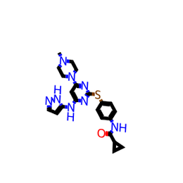 CN1CCN(c2cc(Nc3ccn[nH]3)nc(Sc3ccc(NC(=O)C4CC4)cc3)n2)CC1